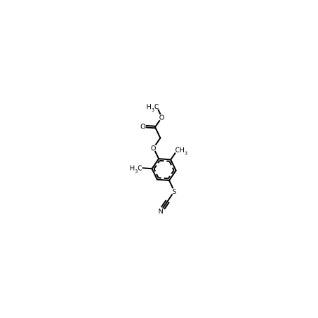 COC(=O)COc1c(C)cc(SC#N)cc1C